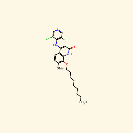 COc1ccc2c(Nc3c(Cl)cncc3Cl)cc(=O)[nH]c2c1OCCCCCCCCC(=O)O